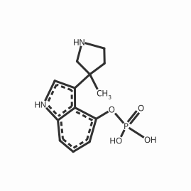 CC1(c2c[nH]c3cccc(OP(=O)(O)O)c23)CCNC1